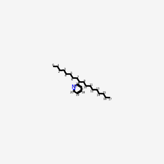 CCCCCCCCCCCCCCCCCC.c1ccncc1